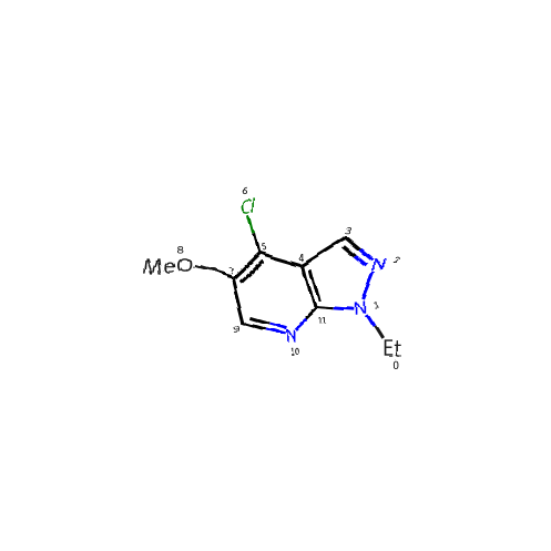 CCn1ncc2c(Cl)c(OC)cnc21